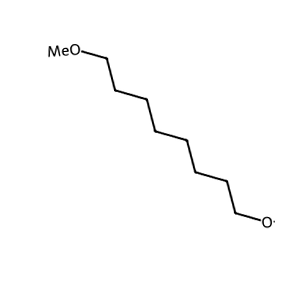 [CH2]OCCCCCCCC[O]